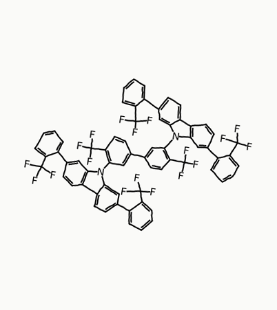 FC(F)(F)c1ccccc1-c1ccc2c3ccc(-c4ccccc4C(F)(F)F)cc3n(-c3cc(-c4ccc(C(F)(F)F)c(-n5c6cc(-c7ccccc7C(F)(F)F)ccc6c6ccc(-c7ccccc7C(F)(F)F)cc65)c4)ccc3C(F)(F)F)c2c1